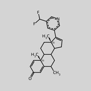 CC1CC2C(CC[C@]3(C)C(c4cncc(C(F)F)c4)=CCC23)[C@@]2(C)C=CC(=O)C=C12